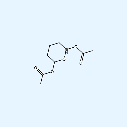 CC(=O)OC1CCC[SiH](OC(C)=O)O1